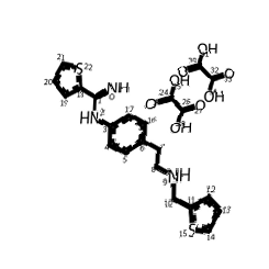 N=C(Nc1ccc(CCNCc2cccs2)cc1)c1cccs1.O=C(O)C(=O)O.O=C(O)C(=O)O